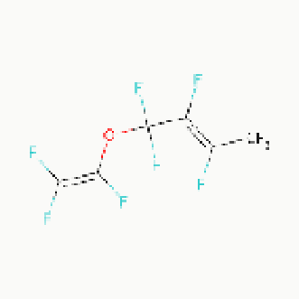 FC(F)=C(F)OC(F)(F)C(F)=C(F)C(F)(F)F